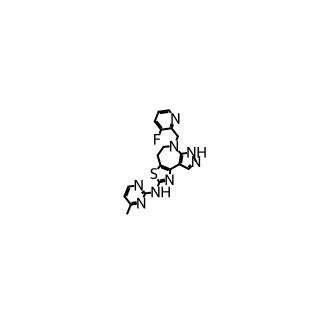 Cc1ccnc(Nc2nc3c(s2)CCN(Cc2ncccc2F)c2[nH]ncc2-3)n1